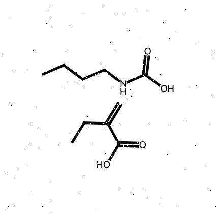 C=C(CC)C(=O)O.CCCCNC(=O)O